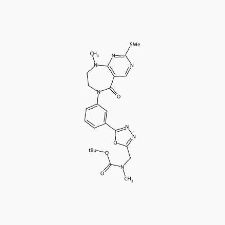 CSc1ncc2c(n1)N(C)CCN(c1cccc(-c3nnc(CN(C)C(=O)OC(C)(C)C)o3)c1)C2=O